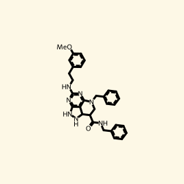 COc1cccc(CCNc2nc3c4c(n2)N(Cc2ccccc2)CC(C(=O)NCc2ccccc2)C4NN3)c1